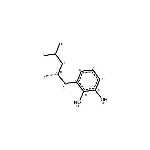 CC(C)C[C@@H](C)Sc1cccc(O)c1O